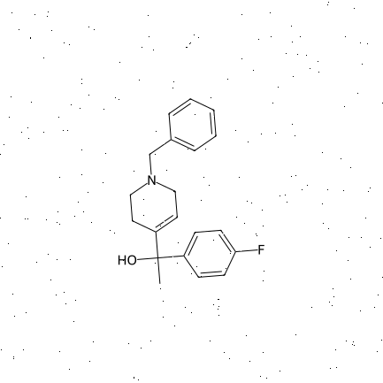 CC(O)(C1=CCN(Cc2ccccc2)CC1)c1ccc(F)cc1